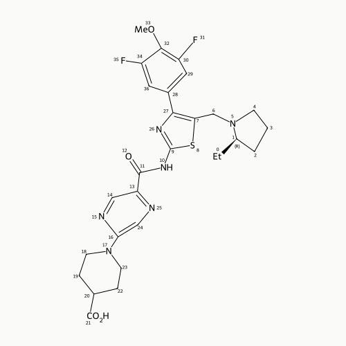 CC[C@@H]1CCCN1Cc1sc(NC(=O)c2cnc(N3CCC(C(=O)O)CC3)cn2)nc1-c1cc(F)c(OC)c(F)c1